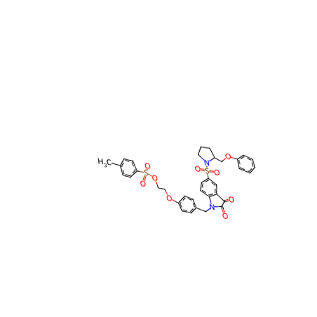 Cc1ccc(S(=O)(=O)OCCOc2ccc(CN3C(=O)C(=O)c4cc(S(=O)(=O)N5CCCC5COc5ccccc5)ccc43)cc2)cc1